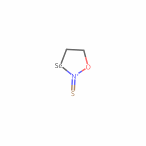 S=[N+]1OCC[Se]1